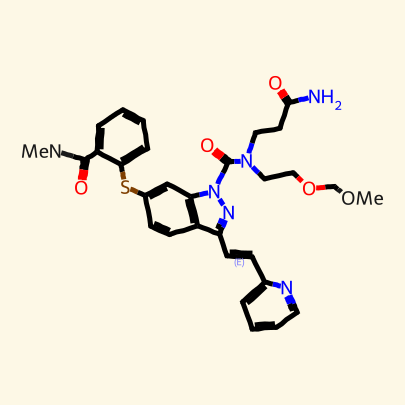 CNC(=O)c1ccccc1Sc1ccc2c(/C=C/c3ccccn3)nn(C(=O)N(CCOCOC)CCC(N)=O)c2c1